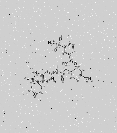 CS(=O)(=O)c1cccc(C(=O)N[C@H](C(=O)Nc2cc3c(cn2)C2(CCOCC2)C(=O)N3)[C@H]2CC[C@H](C)CC2)c1